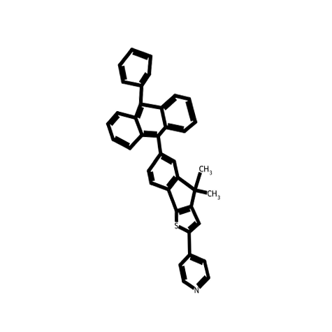 CC1(C)c2cc(-c3c4ccccc4c(-c4ccccc4)c4ccccc34)ccc2-c2sc(-c3ccncc3)cc21